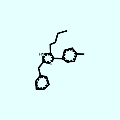 CCCCc1[nH]c(Cc2ccccc2)nc1-c1ccc(C)cc1